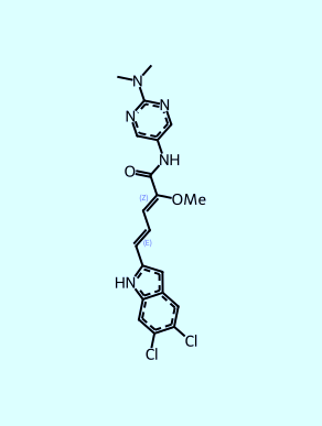 CO/C(=C\C=C\c1cc2cc(Cl)c(Cl)cc2[nH]1)C(=O)Nc1cnc(N(C)C)nc1